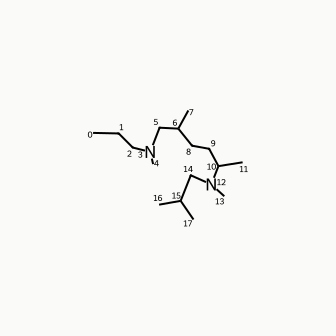 CCCN(C)CC(C)CCC(C)N(C)CC(C)C